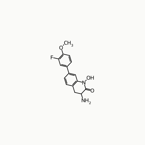 COc1ccc(-c2ccc3c(c2)N(O)C(=O)C(N)C3)cc1F